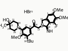 Br.COc1cc2c(c(F)c1OC)C(=N)N(CC(=O)c1cc(N3CCC(C)(O)CC3)c(OC)c(C(C)(C)C)c1)C2